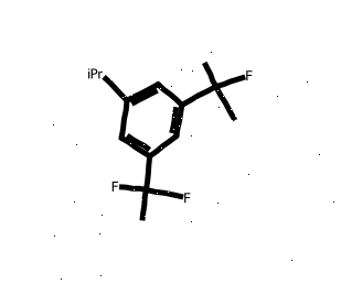 CC(C)c1cc(C(C)(C)F)cc(C(C)(F)F)c1